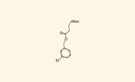 CCCCCCCCCCCC(=O)OCc1cccc(CC)c1